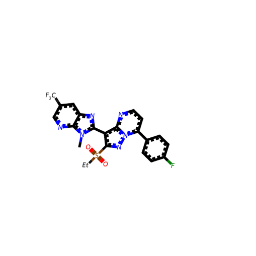 CCS(=O)(=O)c1nn2c(-c3ccc(F)cc3)ccnc2c1-c1nc2cc(C(F)(F)F)cnc2n1C